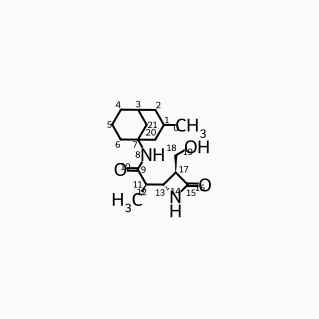 CC1CC2CCCC(NC(=O)[C@H](C)[C@H]3NC(=O)[C@@H]3CO)(C1)C2